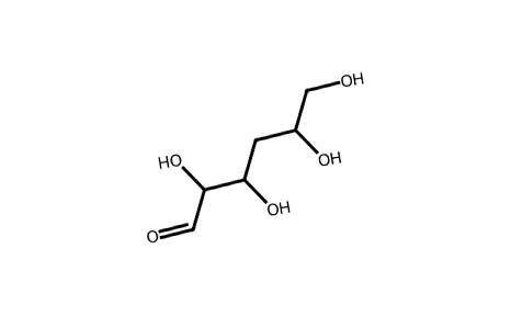 O=CC(O)C(O)CC(O)CO